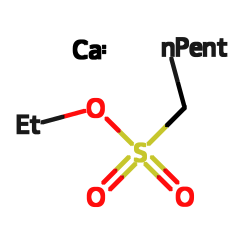 CCCCCCS(=O)(=O)OCC.[Ca]